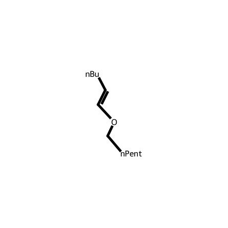 [CH2]CCCCCOC=CCCCC